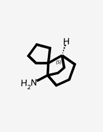 NC12CCC[C@@H](CC1)C21CCCC1